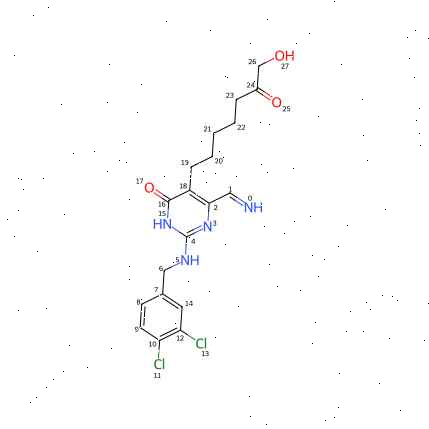 N=Cc1nc(NCc2ccc(Cl)c(Cl)c2)[nH]c(=O)c1CCCCCC(=O)CO